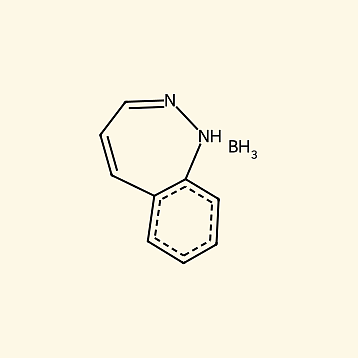 B.C1=Cc2ccccc2NN=C1